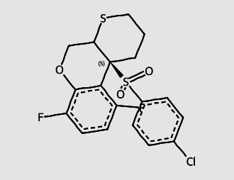 O=S(=O)(c1ccc(Cl)cc1)[C@]12CCCSC1COc1c(F)ccc(F)c12